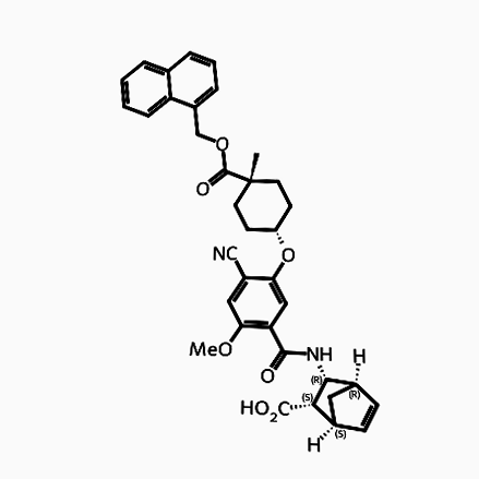 COc1cc(C#N)c(O[C@H]2CC[C@@](C)(C(=O)OCc3cccc4ccccc34)CC2)cc1C(=O)N[C@H]1[C@@H](C(=O)O)[C@@H]2C=C[C@H]1C2